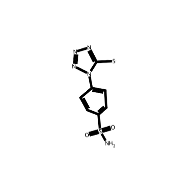 NS(=O)(=O)c1ccc(-n2nnnc2[S])cc1